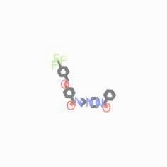 O=C(c1ccccc1)N1CCN(C2CN(C(=O)c3ccc(OCc4ccc(C(F)(F)F)cc4)cc3)C2)CC1